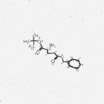 CC(C)(C)OC(=O)[C@H](N)CCC(=O)OCc1ccccc1